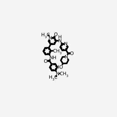 Cc1c(NC(=O)c2ccc(N(C)C)cc2)cccc1-c1cc(Nc2ccc(C(=O)N3CCC(O)CC3)cn2)c(=O)n(C)c1